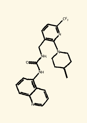 CC1CCN(c2nc(C(F)(F)F)ccc2CNC(=O)Nc2cccc3ncccc23)CC1